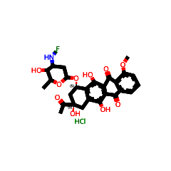 COc1cccc2c1C(=O)c1c(O)c3c(c(O)c1C2=O)C[C@@](O)(C(C)=O)C[C@@H]3OC1CC(NF)C(O)C(C)O1.Cl